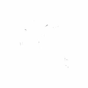 N=Nc1ccc(O[C@H]2O[C@H](CO)[C@@H](O)[C@H](O)[C@H]2O)cc1